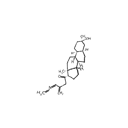 C=C/N=C\C(=C)CC(=O)[C@H]1CC[C@H]2[C@@H]3CC[C@@H]4C[C@](C)(O)CC[C@@H]4[C@H]3CC[C@]12C